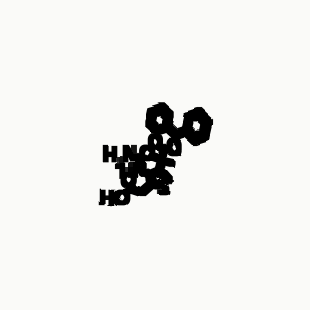 CC(C)(C(=O)OC(c1ccccc1)c1ccccc1)c1csc(CC(=O)O)c1NC(N)=O